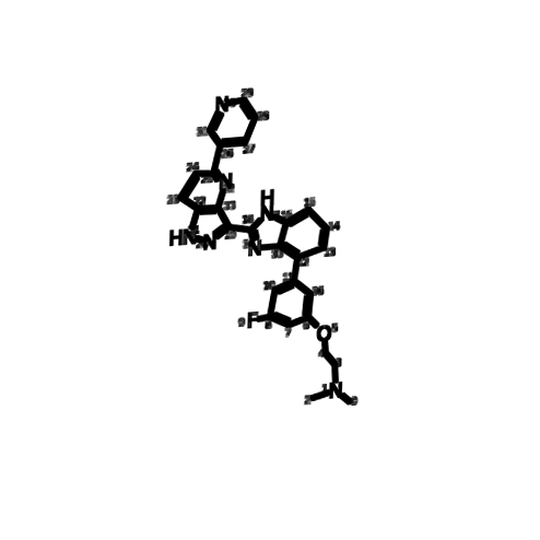 CN(C)CCOc1cc(F)cc(-c2cccc3[nH]c(-c4n[nH]c5ccc(-c6cccnc6)nc45)nc23)c1